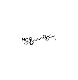 C=CC(=O)OCCCCCCC1C=CC=C(C(=O)O)C1=O